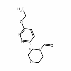 CCOc1ccc([C@H]2COCCN2C=O)nn1